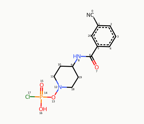 N#Cc1cccc(C(=O)NC2CCN(OP(=O)(O)Cl)CC2)c1